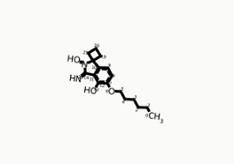 CCCCCCOc1ccc2c(c1O)C(=N)N(O)C21CCC1